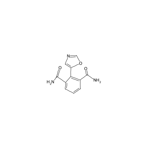 NC(=O)c1cccc(C(N)=O)c1-c1cnco1